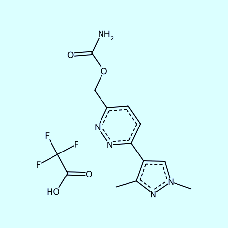 Cc1nn(C)cc1-c1ccc(COC(N)=O)nn1.O=C(O)C(F)(F)F